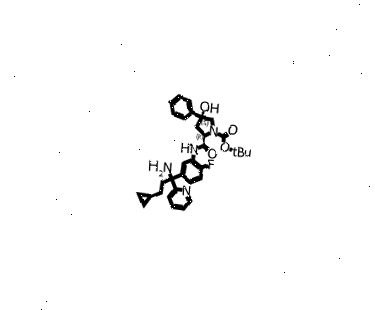 CC(C)(C)OC(=O)N1C[C@@](O)(c2ccccc2)C[C@@H]1C(=O)Nc1cc(C(N)(CCC2CC2)c2ccccn2)ccc1F